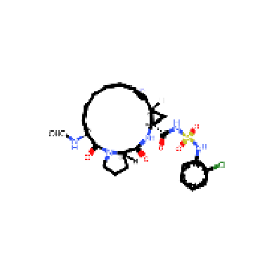 O=CN[C@H]1CCCCC/C=C\[C@@H]2C[C@@]2(C(=O)NS(=O)(=O)Nc2ccccc2Cl)NC(=O)[C@@H]2CCCN2C1=O